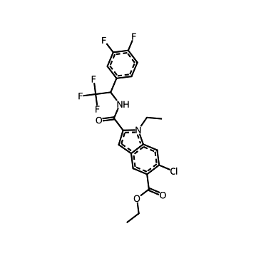 CCOC(=O)c1cc2cc(C(=O)NC(c3ccc(F)c(F)c3)C(F)(F)F)n(CC)c2cc1Cl